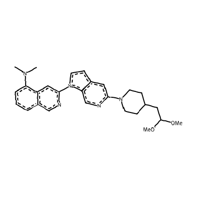 COC(CC1CCN(c2cc3ccn(-c4cc5c(N(C)C)cccc5cn4)c3cn2)CC1)OC